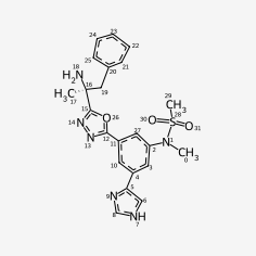 CN(c1cc(-c2c[nH]cn2)cc(-c2nnc([C@@](C)(N)Cc3ccccc3)o2)c1)S(C)(=O)=O